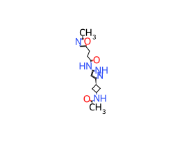 CC(=O)N[C@H]1C[C@@H](c2cc(NC(=O)CCc3cnc(C)o3)[nH]n2)C1